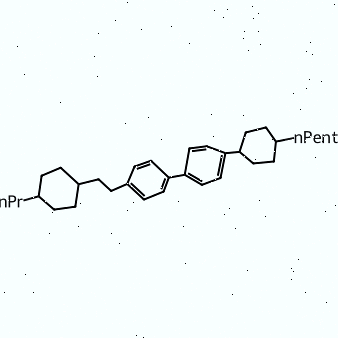 CCCCCC1CCC(c2ccc(-c3ccc(CCC4CCC(CCC)CC4)cc3)cc2)CC1